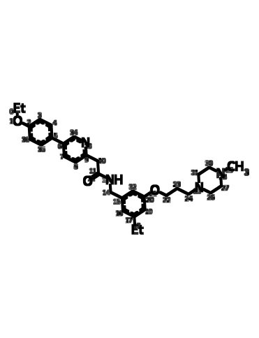 CCOc1ccc(-c2ccc(CC(=O)NCc3cc(CC)cc(OCCCN4CCN(C)CC4)c3)nc2)cc1